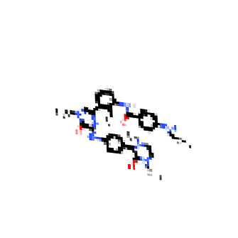 CCNc1ccc(C(=O)Nc2cccc(-c3cn(C)c(=O)c(Nc4ccc(C5C(=O)N(C)CCN5C)cc4)n3)c2C)cc1